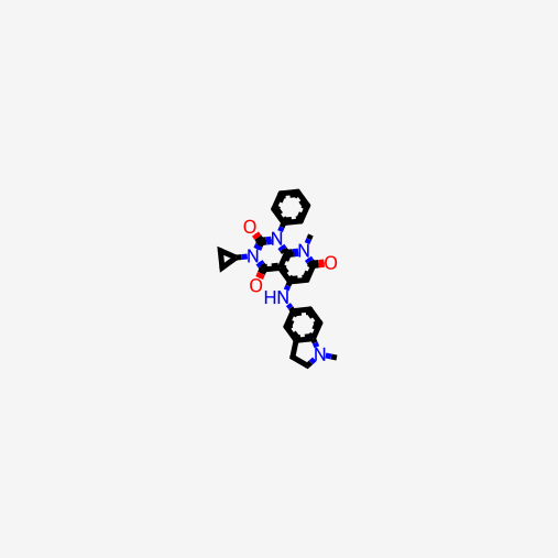 CN1CCc2cc(Nc3cc(=O)n(C)c4c3c(=O)n(C3CC3)c(=O)n4-c3ccccc3)ccc21